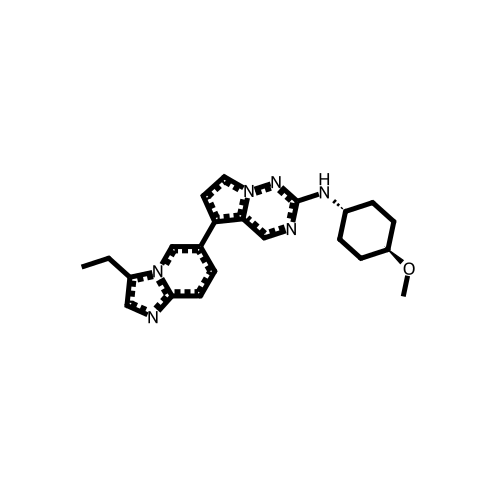 CCc1cnc2ccc(-c3ccn4nc(N[C@H]5CC[C@H](OC)CC5)ncc34)cn12